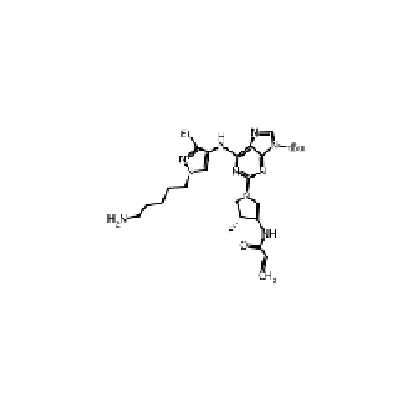 C=CC(=O)N[C@@H]1CN(c2nc(Nc3cn(CCCCCN)nc3CC)c3ncn(C(C)(C)C)c3n2)C[C@H]1F